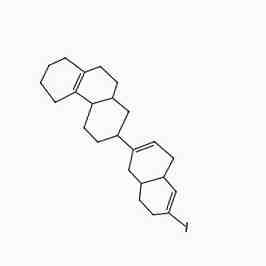 IC1=CC2CC=C(C3CCC4C5=C(CCCC5)CCC4C3)CC2CC1